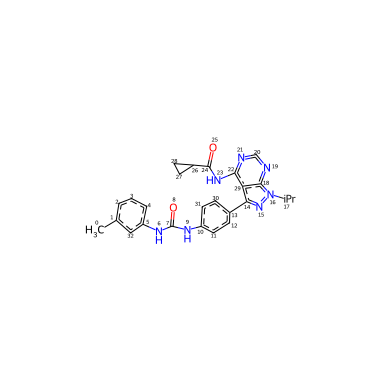 Cc1cccc(NC(=O)Nc2ccc(-c3nn(C(C)C)c4ncnc(NC(=O)C5CC5)c34)cc2)c1